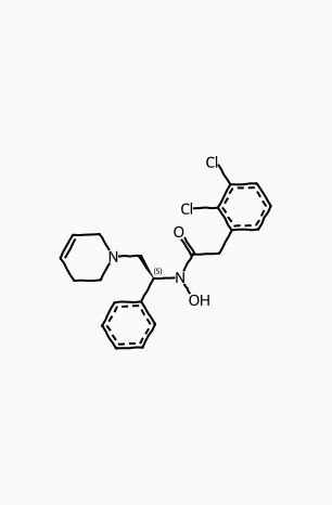 O=C(Cc1cccc(Cl)c1Cl)N(O)[C@H](CN1CC=CCC1)c1ccccc1